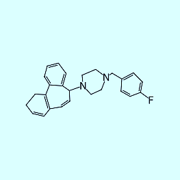 Fc1ccc(CN2CCN(C3C=CC4=C(CCC=C4)c4ccccc43)CC2)cc1